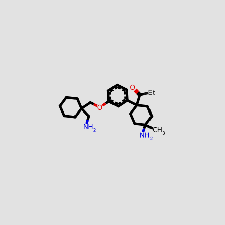 CCC(=O)C1(c2cccc(OCC3(CN)CCCCC3)c2)CCC(C)(N)CC1